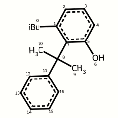 CCC(C)c1cccc(O)c1C(C)(C)c1ccccc1